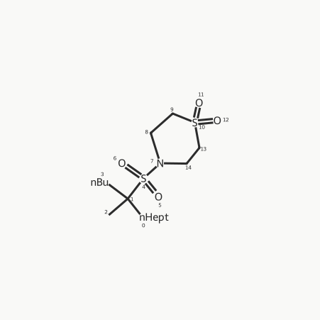 CCCCCCCC(C)(CCCC)S(=O)(=O)N1CCS(=O)(=O)CC1